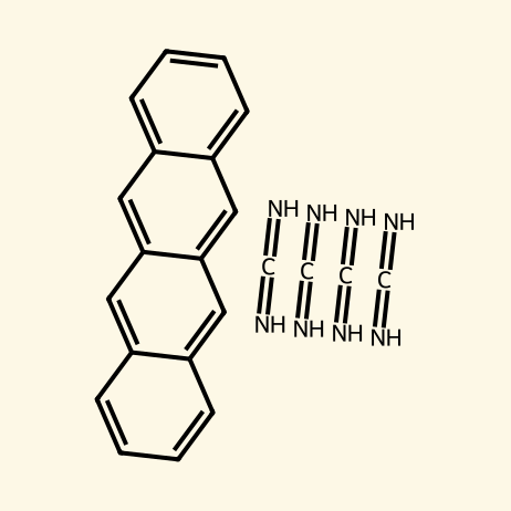 N=C=N.N=C=N.N=C=N.N=C=N.c1ccc2cc3cc4ccccc4cc3cc2c1